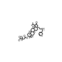 CC(C)C1=C2[C@H]3CC[C@@H]4[C@@]5(C)CC[C@H](OC(=O)CC(C)(C)C(=O)O)C(C)(C)[C@@H]5CC[C@@]4(C)[C@]3(C)CC[C@@]2(CCN[C@H](C)c2cccnc2)CC1=O